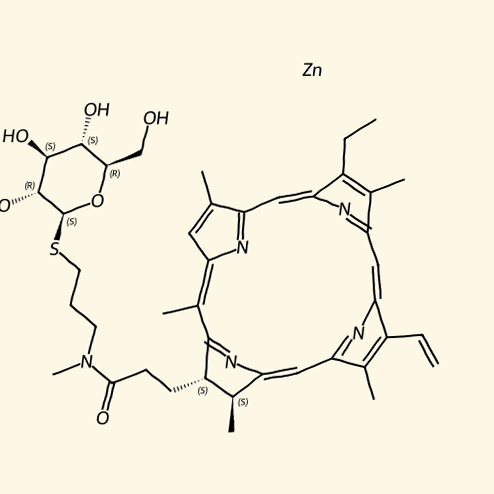 C=CC1=C(C)C2=NC1=CC1=NC(=CC3=NC(=C(C)C4=NC(=C2)[C@@H](C)[C@@H]4CCC(=O)N(C)CCCS[C@@H]2O[C@H](CO)[C@@H](O)[C@H](O)[C@H]2O)C=C3C)C(CC)=C1C.[Zn]